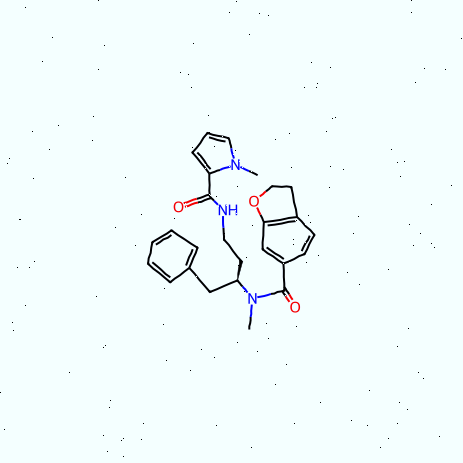 CN(C(=O)c1ccc2c(c1)OCC2)[C@H](CCNC(=O)c1cccn1C)Cc1ccccc1